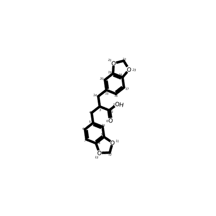 O=C(O)C(Cc1ccc2c(c1)OCO2)Cc1ccc2c(c1)OCO2